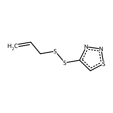 C=CCSSc1csnn1